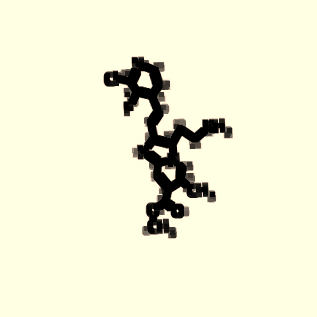 COC(=O)c1cc2nc(/C=C/c3ccnc(Cl)c3F)c(CCN)n2cc1C